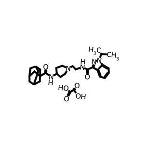 CC(C)n1nc(C(=O)NCCN2CCC(NC(=O)C34CC5CC(CC(C5)C3)C4)CC2)c2ccccc21.O=C(O)C(=O)O